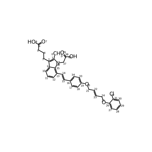 Cc1c(CCCC(=O)O)c2cccc(C=Cc3ccc(OC/C=C/COc4ccccc4Cl)cc3)c2n1CC(=O)O